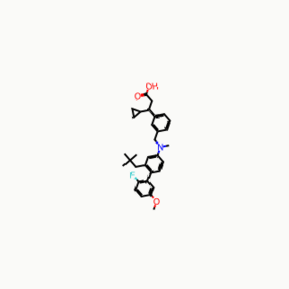 COc1ccc(F)c(-c2ccc(N(C)Cc3cccc(C(CC(=O)O)C4CC4)c3)cc2CC(C)(C)C)c1